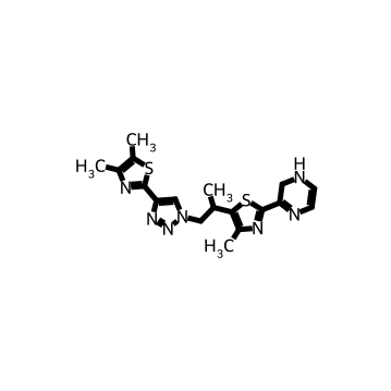 Cc1nc(-c2cn(CC(C)c3sc(C4=NC=CNC4)nc3C)nn2)sc1C